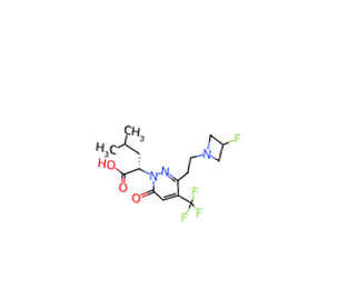 CC(C)C[C@@H](C(=O)O)n1nc(CCN2CC(F)C2)c(C(F)(F)F)cc1=O